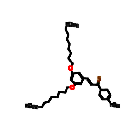 CCCCCCCCCCCCCCCCCCOc1cc(C=CC(=S)c2ccc(CCCC)cc2)cc(OCCCCCCCCCCCCCCCCCC)c1